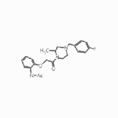 CC(=O)Nc1ccccc1OCC(=O)N1CCN(Cc2ccc(F)cc2)CC1C